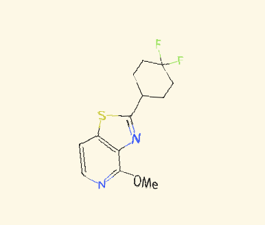 COc1nccc2sc(C3CCC(F)(F)CC3)nc12